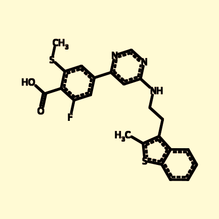 CSc1cc(-c2cc(NCCc3c(C)sc4ccccc34)ncn2)cc(F)c1C(=O)O